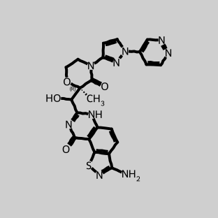 C[C@]1(C(O)c2nc(=O)c3c(ccc4c(N)nsc43)[nH]2)OCCN(c2ccn(-c3ccnnc3)n2)C1=O